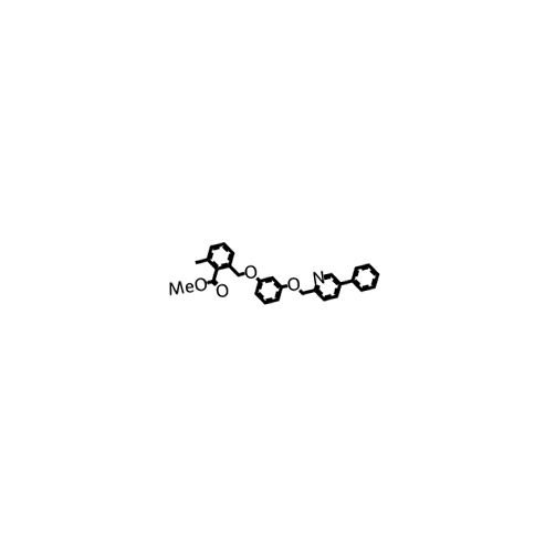 COC(=O)c1c(C)cccc1COc1cccc(OCc2ccc(-c3ccccc3)cn2)c1